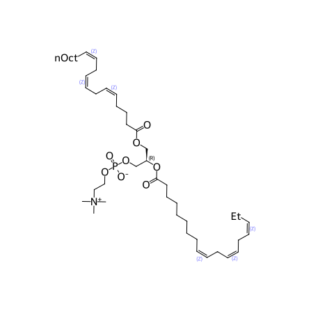 CC/C=C\C/C=C\C/C=C\CCCCCCCC(=O)O[C@H](COC(=O)CCC/C=C\C/C=C\C/C=C\CCCCCCCC)COP(=O)([O-])OCC[N+](C)(C)C